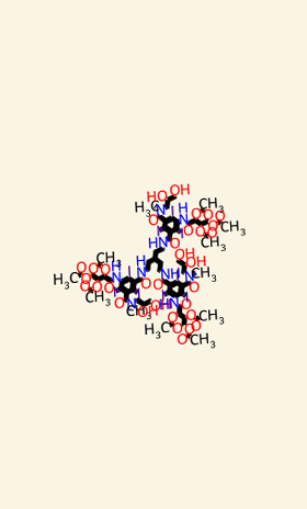 CC(=O)OCC(OC(C)=O)C(OC(C)=O)C(=O)Nc1c(I)c(C(=O)NCCC(CCNC(=O)c2c(I)c(NC(=O)C(OC(C)=O)C(COC(C)=O)OC(C)=O)c(I)c(C(=O)N(C)CC(O)CO)c2I)CCNC(=O)c2c(I)c(NC(=O)C(OC(C)=O)C(COC(C)=O)OC(C)=O)c(I)c(C(=O)N(C)CC(O)CO)c2I)c(I)c(C(=O)N(C)CC(O)CO)c1I